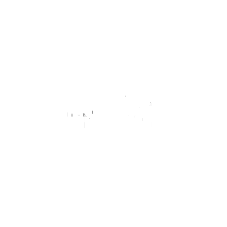 C=C[C@H]1O[C@@H](OCCCCC(=O)NCCCC)C[C@@H](OC(C)=O)[C@H]1OC(C)=O